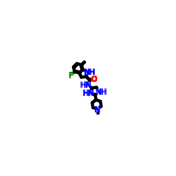 Cc1ccc(F)c2c1NC(C(=O)NC1CNC(C3CCN(C)CC3)N1)C2